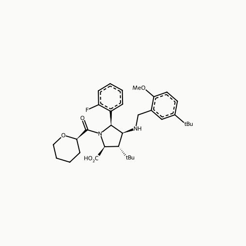 COc1ccc(C(C)(C)C)cc1CN[C@H]1[C@H](C(C)(C)C)[C@@H](C(=O)O)N(C(=O)[C@H]2CCCCO2)[C@H]1c1ccccc1F